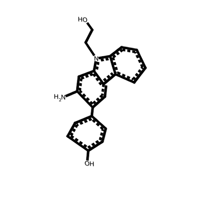 Nc1cc2c(cc1-c1ccc(O)cc1)c1ccccc1n2CCO